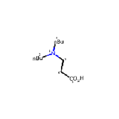 CCCCN(CCCC)CCC(=O)O